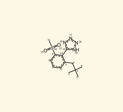 CC(C)(C)Cc1cccc(S(C)(=O)=O)c1-c1nnn[nH]1